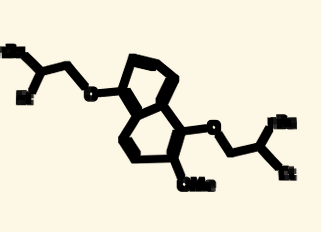 CCCCC(CC)COc1cccc2c(OCC(CC)CCCC)c(OC)ccc12